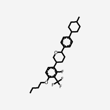 CCCCOc1ccc(C2CCC(c3ccc(C4CCC(C)CC4)cc3)OC2)c(F)c1C(F)(F)F